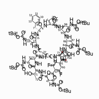 CC(C)C[C@@H]1NC(=O)[C@@H](Cc2ccccc2)NC(=O)[C@H](CCNC(=O)OC(C)(C)C)NC[C@@H](NC(=O)[C@H](CCNC(=O)OC(C)(C)C)NC(=O)[C@@H](NC(=O)[C@H](CCNC(=O)OC(C)(C)C)OC(=O)c2c(F)cc(-c3ccccc3)cc2F)C(C)O)CCNC(=O)[C@H]([C@H](C)O)NC(=O)[C@H](CCNC(=O)OC(C)(C)C)NC(=O)[C@H](CCNC(=O)OC(C)(C)C)NC1=O